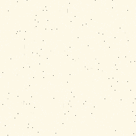 Cl.O=C(O)CCC1=Cc2cc3ccc(cc4nc(cc5cc(CCC(=O)O)c(cc1n2)[nH]5)C=C4)[nH]3.[Cr]